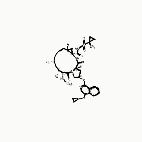 CC[C@@H]1C[C@H](C)CCC=C[C@@H]2C[C@@]2(C(=O)NS(=O)(=O)C2(C)CC2)NC(=O)[C@@H]2C[C@@H](Oc3ncc(OC4CC4)c4ccccc34)CN2C(=O)[C@H]1NC(=O)O